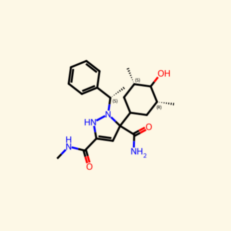 CNC(=O)C1=CC(C(N)=O)(C2C[C@@H](C)C(O)[C@@H](C)C2)N([C@@H](C)c2ccccc2)N1